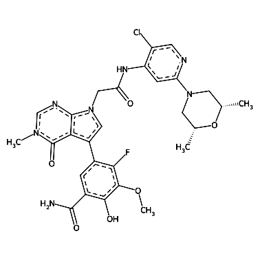 COc1c(O)c(C(N)=O)cc(-c2cn(CC(=O)Nc3cc(N4C[C@@H](C)O[C@@H](C)C4)ncc3Cl)c3ncn(C)c(=O)c23)c1F